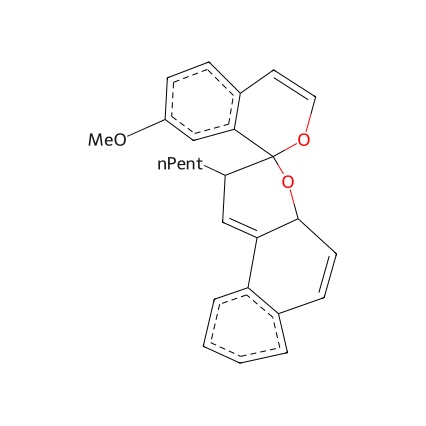 CCCCCC1C=C2c3ccccc3C=CC2OC12OC=Cc1ccc(OC)cc12